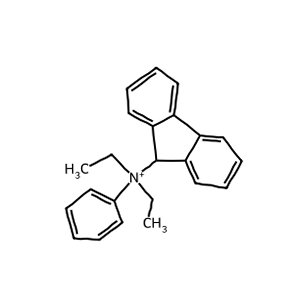 CC[N+](CC)(c1ccccc1)C1c2ccccc2-c2ccccc21